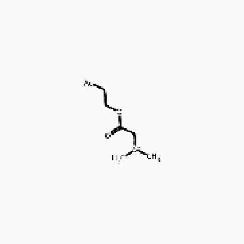 CC(=O)CCOC(=O)C[S+](C)C